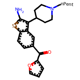 CCCCCN1CCC(c2c(N)sc3ccc(C(=O)c4ccco4)cc23)CC1